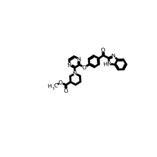 COC(=O)C1CCCN(c2nccnc2Oc2ccc(C(=O)c3nc4ccccc4[nH]3)cc2)C1